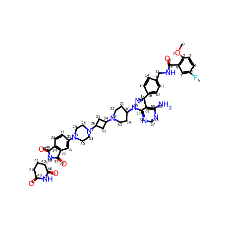 COc1ccc(F)cc1C(=O)NCc1ccc(-c2nn(C3CCN(C4CC(N5CCN(c6ccc7c(c6)C(=O)N([C@H]6CCC(=O)NC6=O)C7=O)CC5)C4)CC3)c3ncnc(N)c23)cc1